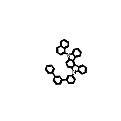 c1ccc(-c2cccc(-c3cccc(-n4c5ccccc5c5c6c7ccccc7n(-c7cccc8ccccc78)c6ccc54)c3)c2)cc1